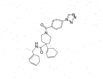 C[C@H](NC(=O)C1(C2=CC=CCC2)CCN(C(=O)c2ccc(-n3cnnn3)cc2)CC1)C1=CC=CCC1